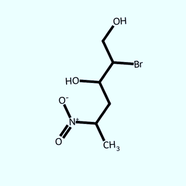 CC(CC(O)C(Br)CO)[N+](=O)[O-]